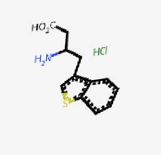 Cl.NC(CC(=O)O)Cc1csc2ccccc12